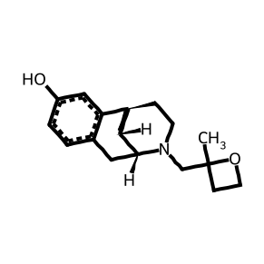 CC1(CN2CC[C@]34CCCC[C@H]3[C@H]2Cc2ccc(O)cc24)CCO1